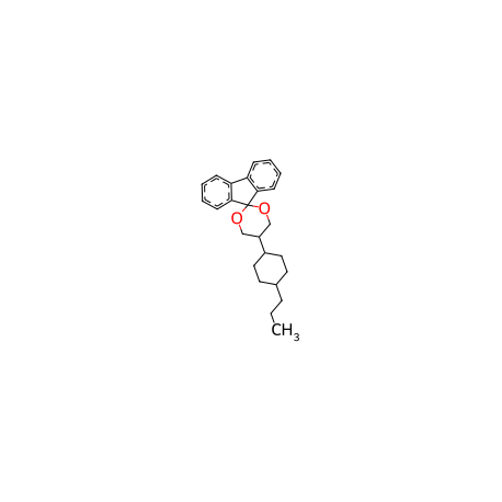 CCCC1CCC(C2COC3(OC2)c2ccccc2-c2ccccc23)CC1